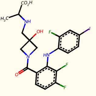 CC(NCC1(O)CN(C(=O)c2ccc(F)c(F)c2Nc2ccc(I)cc2F)C1)C(=O)O